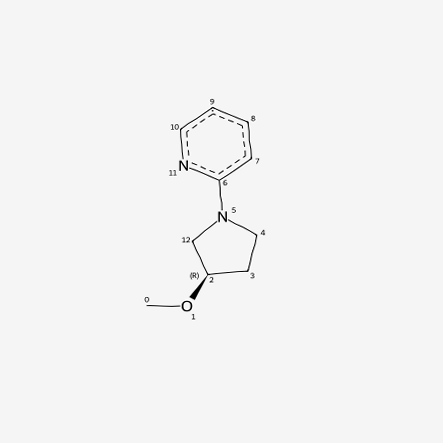 CO[C@@H]1CCN(c2cc[c]cn2)C1